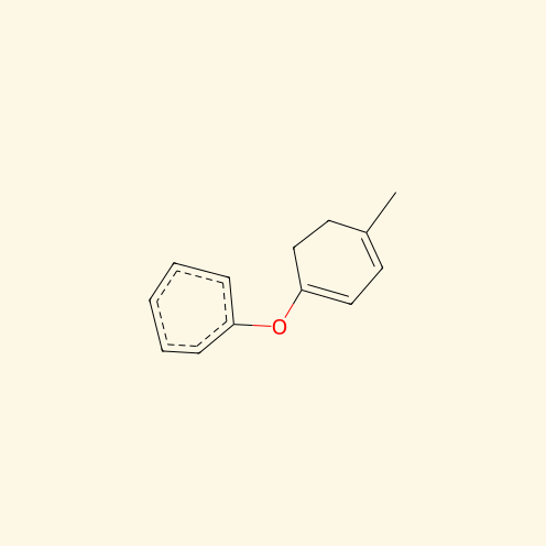 CC1=CC=C(Oc2ccccc2)CC1